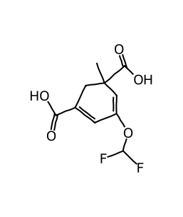 CC1(C(=O)O)C=C(OC(F)F)C=C(C(=O)O)C1